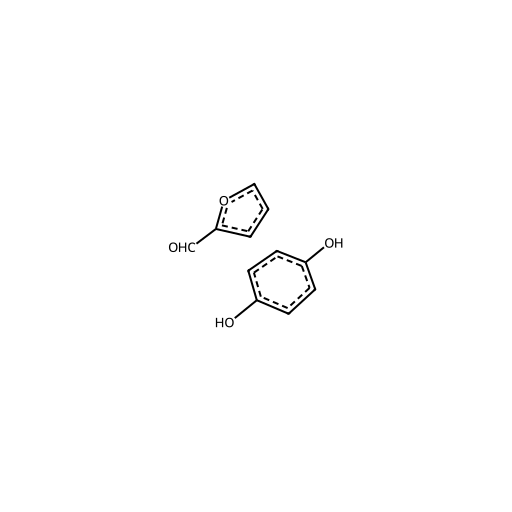 O=Cc1ccco1.Oc1ccc(O)cc1